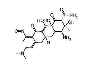 C/C(N=O)=C1/C(=O)C2=C(O)[C@]3(O)C(=O)[C@H](C(N)=O)[C@@](C)(O)[C@@H](N)C3C[C@@H]2C/C1=C/CN(C)C